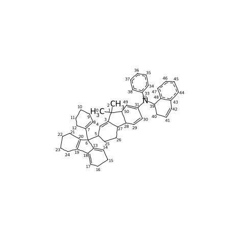 CC1(C)C2=CC(C3(C4=CCCCC4)C4=CCCC=C4C4=C3CCCC4)CCC2C2C=CC(N(c3ccccc3)C3CC=Cc4ccccc43)=CC21